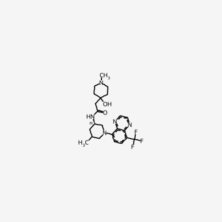 CC1C[C@@H](NC(=O)CC2(O)CCN(C)CC2)CN(c2ccc(C(F)(F)F)c3nccnc23)C1